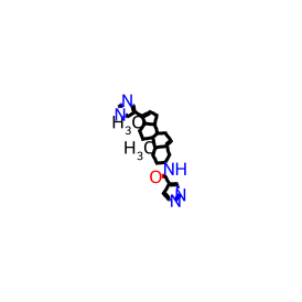 CC12CCC(NC(=O)c3ccnnc3)CC1=CCC1C2CCC2(C)C(c3cncnc3)=CCC12